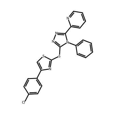 Clc1ccc(-c2csc(Sc3nnc(-c4ccccn4)n3-c3ccccc3)n2)cc1